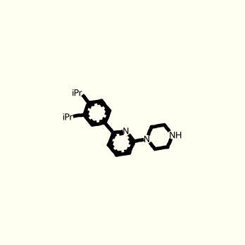 CC(C)c1ccc(-c2cccc(N3CCNCC3)n2)cc1C(C)C